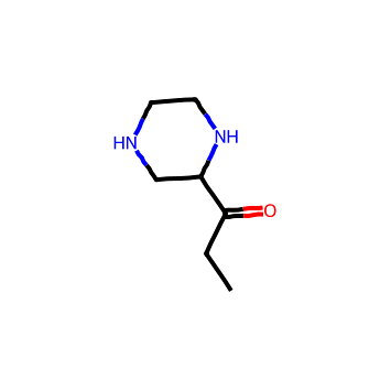 CCC(=O)C1CNCCN1